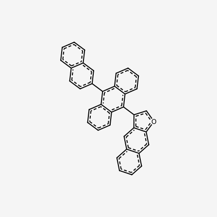 c1ccc2cc(-c3c4ccccc4c(-c4coc5cc6ccccc6cc45)c4ccccc34)ccc2c1